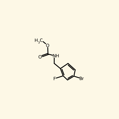 COC(=O)NCc1ccc(Br)cc1F